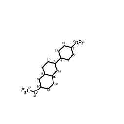 CCCC1CCC(C2CCC3CC(OC(F)(F)F)CCC3C2)CC1